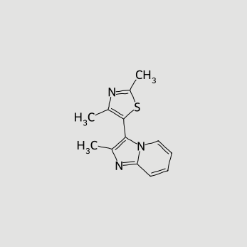 Cc1nc(C)c(-c2c(C)nc3ccccn23)s1